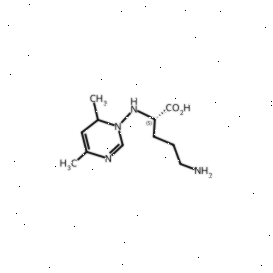 CC1=CC(C)N(N[C@@H](CCCN)C(=O)O)C=N1